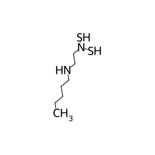 CCCCCNCCN(S)S